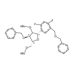 CCCCOC[C@H]1O[C@@H](c2cc(COCc3ccccc3)c(F)cc2F)C(OCCCC)[C@@H]1OCc1ccccc1